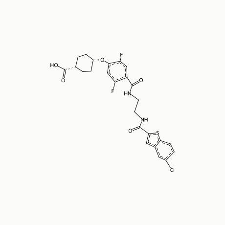 O=C(NCCNC(=O)c1cc(F)c(O[C@H]2CC[C@@H](C(=O)O)CC2)cc1F)c1cc2cc(Cl)ccc2s1